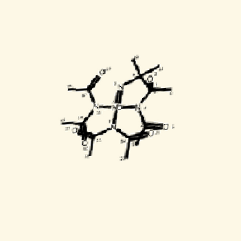 CC(=O)[N](C(C)=O)[Nb](=[N]C(C)(C)C)([N](C(C)=O)C(C)=O)[N](C(C)=O)C(C)=O